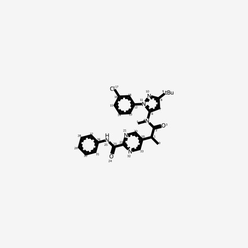 CC(C(=O)N(C)c1cc(C(C)(C)C)nn1-c1cccc(Cl)c1)c1cnc(C(=O)Nc2ccccc2)nc1